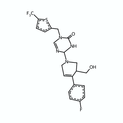 O=C1NC(N2CC=C(c3ccc(F)cc3)C(CO)C2)N=CN1Cc1ccc(C(F)(F)F)s1